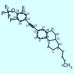 CCCCC1CCC2c3ccc(C#Cc4cc(F)c(OC(F)(F)F)c(F)c4)cc3CCC2C1